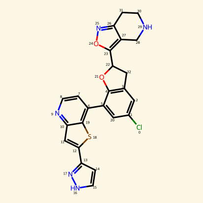 Clc1cc2c(c(-c3ccnc4cc(-c5cc[nH]n5)sc34)c1)OC(c1onc3c1CNCC3)C2